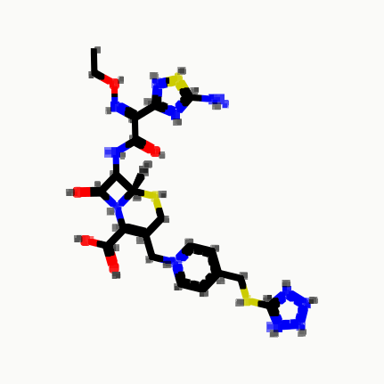 CCON=C(C(=O)NC1C(=O)N2C(C(=O)[O-])=C(C[n+]3ccc(CSc4nnn[nH]4)cc3)CS[C@@H]12)c1nsc(N)n1